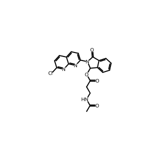 CC(=O)NCCC(=O)OC1c2ccccc2C(=O)N1c1ccc2ccc(Cl)nc2n1